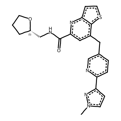 Cn1ccc(-c2ccc(Cc3cc(C(=O)NC[C@@H]4CCCO4)nc4ccsc34)cn2)n1